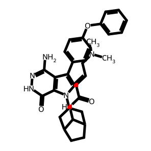 CN(C)CC=CC(=O)NC1C2CCC1CC(n1cc(-c3ccc(Oc4ccccc4)cc3)c3c(N)n[nH]c(=O)c31)C2